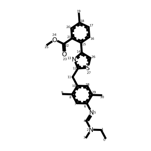 CCN(C)/C=N/c1cc(C)c(Cc2nc(-c3ccc(C)cc3C(=O)OC)cs2)cc1C